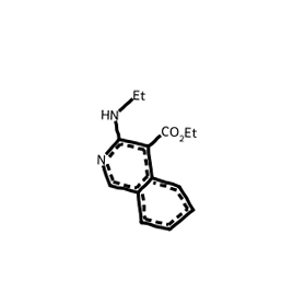 CCNc1ncc2ccccc2c1C(=O)OCC